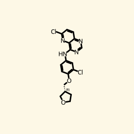 Clc1ccc2ncnc(Nc3ccc(OC[C@@H]4CCOC4)c(Cl)c3)c2n1